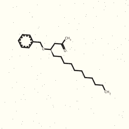 CCCCCCCCCCC[C@H](CC(C)=O)OCc1ccccc1